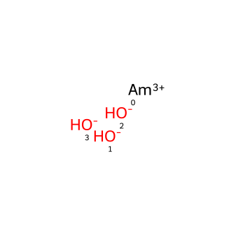 [Am+3].[OH-].[OH-].[OH-]